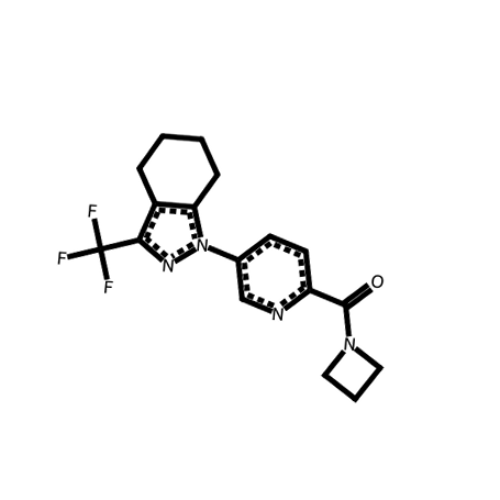 O=C(c1ccc(-n2nc(C(F)(F)F)c3c2CCCC3)cn1)N1CCC1